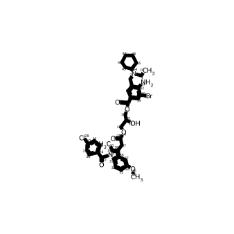 CCN(Cc1cc(C(=O)OCC(O)COC(=O)Cc2c(C)n(C(=O)c3ccc(Cl)cc3)c3ccc(OC)cc23)cc(Br)c1N)C1CCCCC1